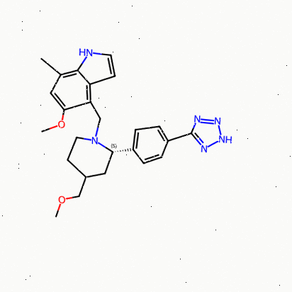 COCC1CCN(Cc2c(OC)cc(C)c3[nH]ccc23)[C@H](c2ccc(-c3nn[nH]n3)cc2)C1